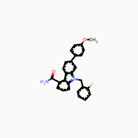 COc1ccc(-c2c[c]c3c4c(C(N)=O)cccc4n(Cc4ccccc4F)c3c2)cc1